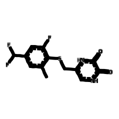 Cc1cc(C(F)F)cc(F)c1SCc1c[nH]c(=O)c(=O)[nH]1